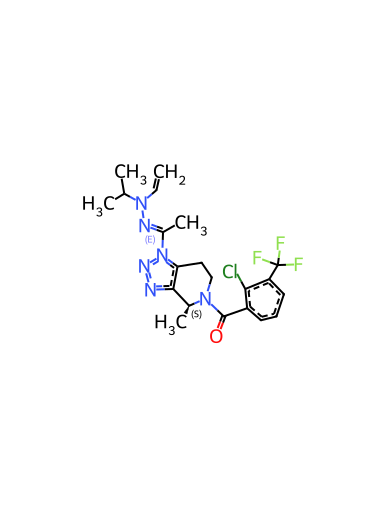 C=CN(/N=C(\C)n1nnc2c1CCN(C(=O)c1cccc(C(F)(F)F)c1Cl)[C@H]2C)C(C)C